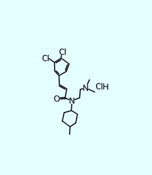 CC1CCC(N(CCN(C)C)C(=O)C=Cc2ccc(Cl)c(Cl)c2)CC1.Cl